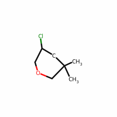 CC1(C)COCC(Cl)C1